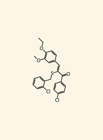 CCOc1ccc(C=C(SCc2ccccc2Cl)C(=O)c2ccc(Cl)cc2)cc1OC